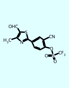 Cc1nc(-c2ccc(OS(=O)(=O)C(F)(F)F)c(C#N)c2)sc1C=O